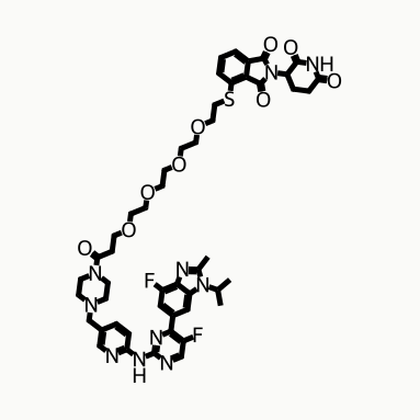 Cc1nc2c(F)cc(-c3nc(Nc4ccc(CN5CCN(C(=O)CCOCCOCCOCCOCCSc6cccc7c6C(=O)N(C6CCC(=O)NC6=O)C7=O)CC5)cn4)ncc3F)cc2n1C(C)C